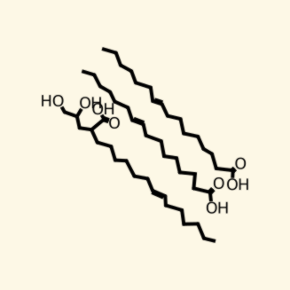 CCCCCCC=CCCCCCCC(CC(O)CO)C(=O)O.CCCCCCC=CCCCCCCCC(=O)O.CCCCCCC=CCCCCCCCC(=O)O